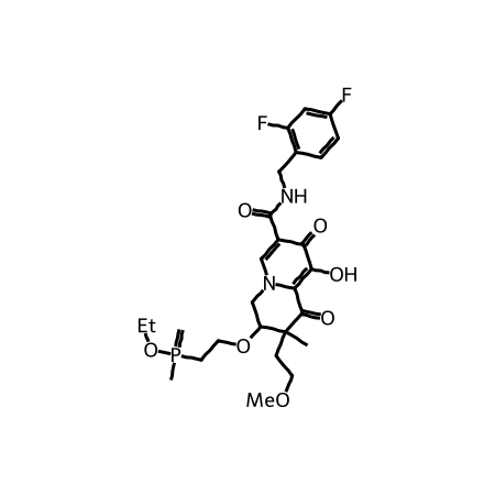 C=P(C)(CCOC1Cn2cc(C(=O)NCc3ccc(F)cc3F)c(=O)c(O)c2C(=O)C1(C)CCOC)OCC